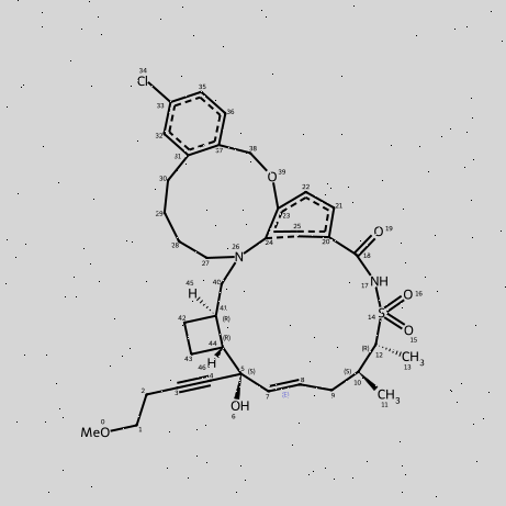 COCCC#C[C@@]1(O)/C=C/C[C@H](C)[C@@H](C)S(=O)(=O)NC(=O)c2ccc3c(c2)N(CCCCc2cc(Cl)ccc2CO3)C[C@@H]2CC[C@H]21